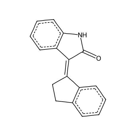 O=C1Nc2ccccc2C1=C1CCc2ccccc21